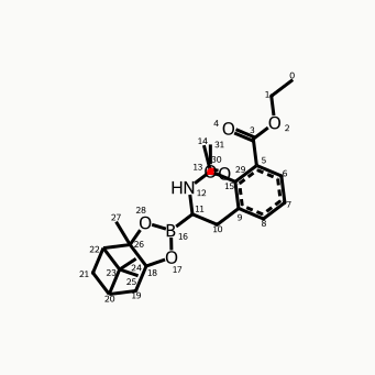 CCOC(=O)c1cccc(CC(NC(C)=O)B2OC3CC4CC(C4(C)C)C3(C)O2)c1OC